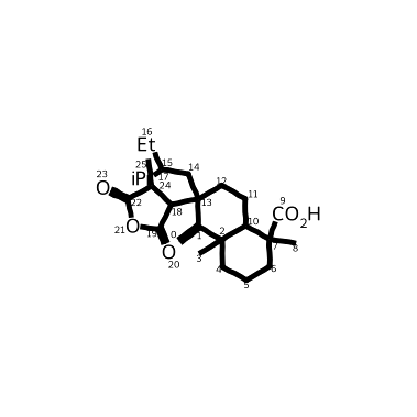 C=C1C2(C)CCCC(C)(C(=O)O)C2CCC1(CC(CC)C(C)C)C1C(=O)OC(=O)C1C